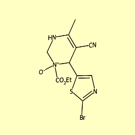 CCOC(=O)[N+]1([O-])CNC(C)=C(C#N)C1c1cnc(Br)s1